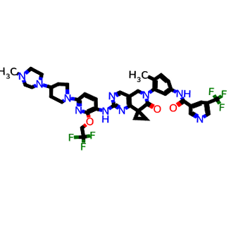 Cc1ccc(NC(=O)c2cncc(C(F)(F)F)c2)cc1N1Cc2cnc(Nc3ccc(N4CCC(N5CCN(C)CC5)CC4)nc3OCC(F)(F)F)nc2C2(CC2)C1=O